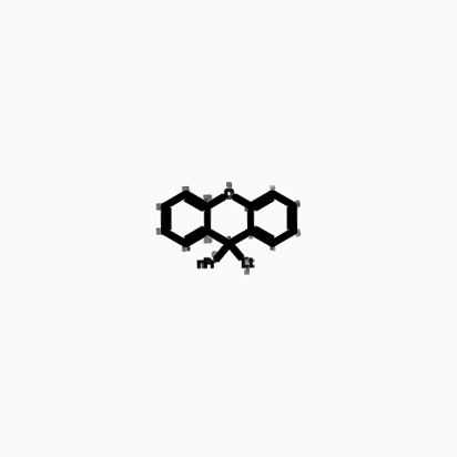 CCCC1(CC)c2ccccc2Oc2ccccc21